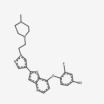 CN1CCN(CCn2cc(-c3cc4nccc(Oc5ccc(N=O)cc5F)c4s3)cn2)CC1